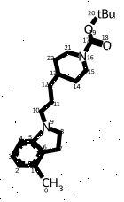 Cc1cccc2c1CCN2CCCC1CCN(C(=O)OC(C)(C)C)CC1